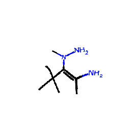 C/C(N)=C(/N(C)N)C(C)(C)C